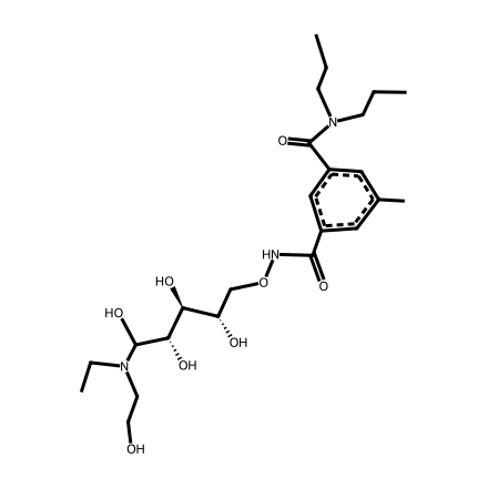 CCCN(CCC)C(=O)c1cc(C)cc(C(=O)NOC[C@H](O)[C@H](O)[C@H](O)C(O)N(CC)CCO)c1